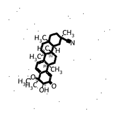 CO[C@@]1(C)C2=CC=C3[C@@](C)(CC[C@@]4(C)[C@@H]5C[C@](C)(C#N)CC[C@]5(C)CC[C@]34C)C2=CC(=O)[C@@H]1O